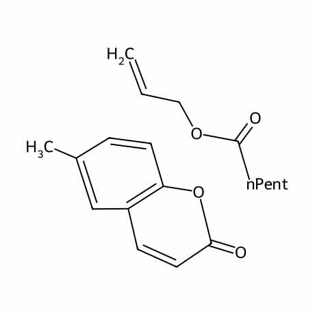 C=CCOC(=O)CCCCC.Cc1ccc2oc(=O)ccc2c1